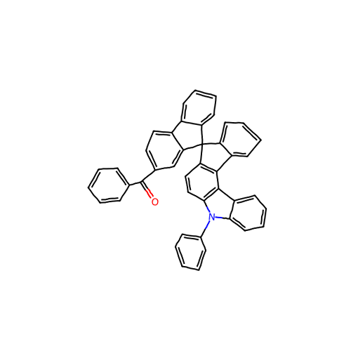 O=C(c1ccccc1)c1ccc2c(c1)C1(c3ccccc3-2)c2ccccc2-c2c1ccc1c2c2ccccc2n1-c1ccccc1